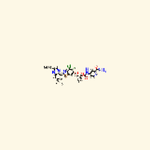 COc1cnc2c(-c3nc4c(Cl)c(F)c(OC[C@@H](C)OC(=O)Nc5ccnc(C(N)=O)c5)cc4s3)cc(C)cc2n1